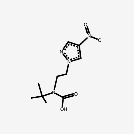 CC(C)(C)N(CCn1cc([N+](=O)[O-])cn1)C(=O)O